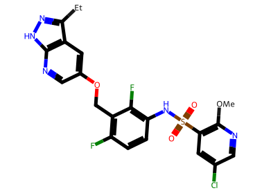 CCc1n[nH]c2ncc(OCc3c(F)ccc(NS(=O)(=O)c4cc(Cl)cnc4OC)c3F)cc12